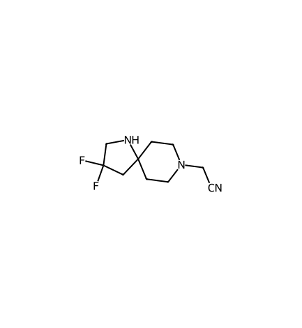 N#CCN1CCC2(CC1)CC(F)(F)CN2